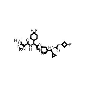 Cc1nonc1C(=O)N[C@H](c1cn2ncc([C@H](NC(=O)C[C@H]3C[C@H](F)C3)C3CC3)cc2n1)C1CCC(F)(F)CC1